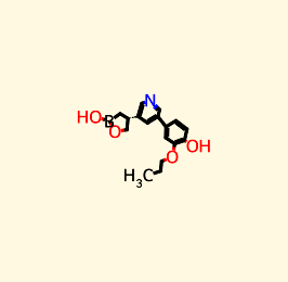 CCCOc1cc(-c2cncc([C@@H]3COB(O)C3)c2)ccc1O